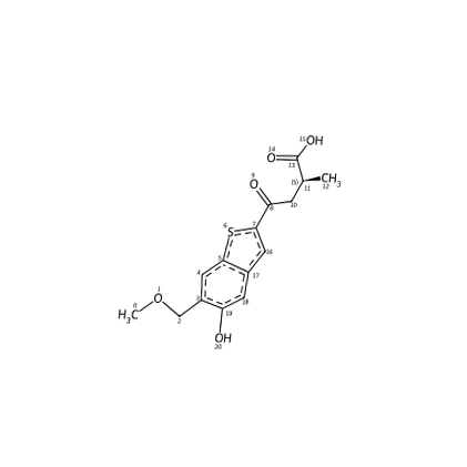 COCc1cc2sc(C(=O)C[C@H](C)C(=O)O)cc2cc1O